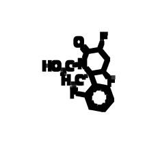 C[C@@]1(c2ccccc2F)[C@H](F)CC(F)C(=O)N1C(=O)O